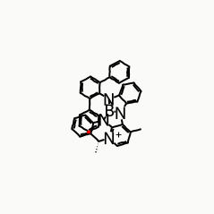 Cc1cc[n+]2c3c1N1B(N(c4c(-c5ccccc5)cccc4-c4ccccc4)c4ccccc41)N3c1ccccc1[C@H]2C